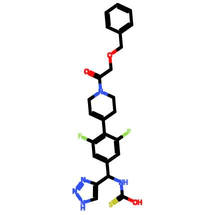 O=C(COCc1ccccc1)N1CC=C(c2c(F)cc(C(NC(O)=S)c3c[nH]nn3)cc2F)CC1